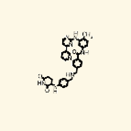 Cc1ccc(NC(=O)c2ccc(CNCc3ccc(NC4CCC(=O)NC4=O)cc3)cc2)cc1Nc1nccc(-c2cccnc2)n1